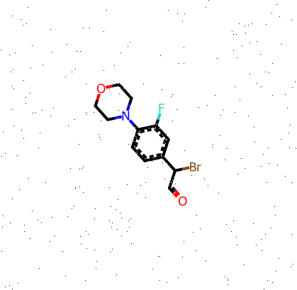 O=CC(Br)c1ccc(N2CCOCC2)c(F)c1